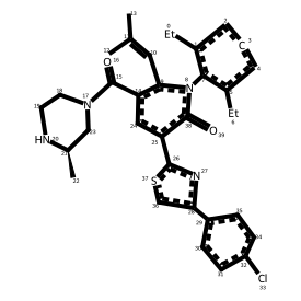 CCc1cccc(CC)c1-n1c(C=C(C)C)c(C(=O)N2CCN[C@H](C)C2)cc(-c2nc(-c3ccc(Cl)cc3)cs2)c1=O